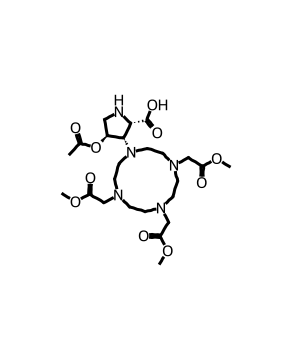 COC(=O)CN1CCN(CC(=O)OC)CCN([C@@H]2[C@@H](OC(C)=O)CN[C@@H]2C(=O)O)CCN(CC(=O)OC)CC1